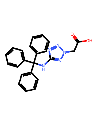 O=C(O)Cn1nnc(NC(c2ccccc2)(c2ccccc2)c2ccccc2)n1